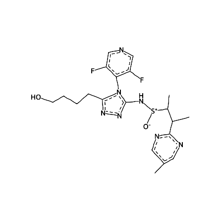 Cc1cnc(C(C)C(C)[S+]([O-])Nc2nnc(CCCCO)n2-c2c(F)cncc2F)nc1